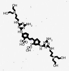 Nc1nc(NCCCN(CCO)CCO)nc(Nc2ccc(/C=C/c3ccc(Nc4nc(N)nc(NCCCN(CCO)CCO)n4)cc3S(=O)(=O)O)c(SOOO)c2)n1